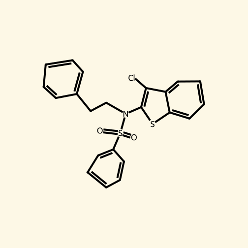 O=S(=O)(c1ccccc1)N(CCc1ccccc1)c1sc2ccccc2c1Cl